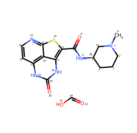 CN1CCC[C@@H](NC(=O)c2sc3nccc4c3c2NC(=O)N4)C1.O=CO